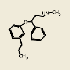 CCCc1cccc(OC(CCNC)c2ccccc2)c1